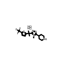 Cl.Cl.Cn1c(C2CCNCC2)nnc1C(C)(C)c1ccc(C(F)(F)F)s1